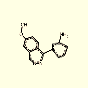 COc1ccc2c(-c3cccc(N)c3)nncc2c1